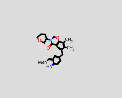 CN/C=C1/C=C(Cc2cc3c(c(C)c2C)OCN(C2CCCOC2)C3=O)C=CC1=N